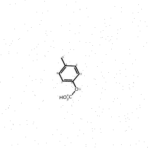 Cc1ccc(OC(=O)O)cc1